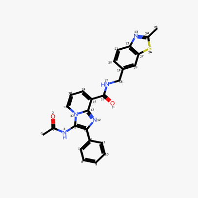 CC(=O)Nc1c(-c2ccccc2)nc2c(C(=O)NCc3ccc4nc(C)sc4c3)cccn12